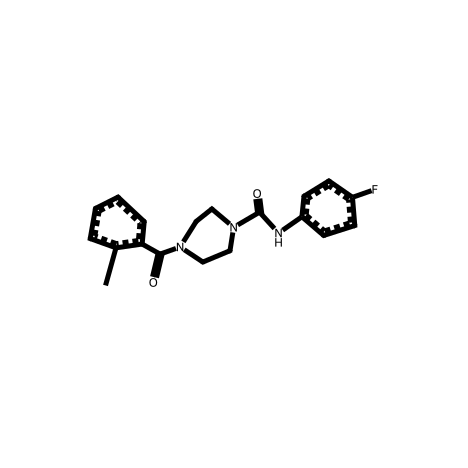 Cc1ccccc1C(=O)N1CCN(C(=O)Nc2ccc(F)cc2)CC1